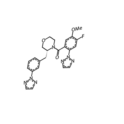 COc1cc(C(=O)N2CCOC[C@H]2Cc2cccc(-n3nccn3)c2)c(-n2nccn2)cc1F